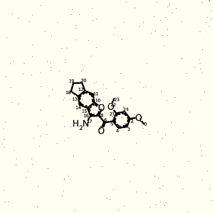 COc1ccc(C(=O)c2oc3cc4c(cc3c2N)CCC4)c(OC)c1